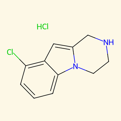 Cl.Clc1cccc2c1cc1n2CCNC1